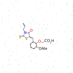 C=CCN1C(=O)/C(=C/c2cccc(OC)c2OCC(=O)O)SC1=S